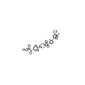 Cn1nc(C(F)(F)F)cc1-c1ccc(S(=O)(=O)N2CCN(c3ncc(C(=O)NO)cn3)CC2)s1